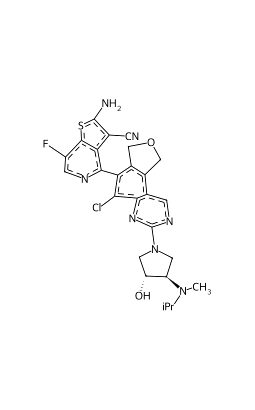 CC(C)N(C)[C@@H]1CN(c2ncc3c4c(c(-c5ncc(F)c6sc(N)c(C#N)c56)c(Cl)c3n2)COC4)C[C@H]1O